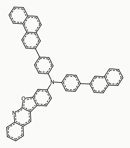 c1ccc2cc(-c3ccc(N(c4ccc(-c5ccc6c(ccc7ccccc76)c5)cc4)c4ccc5c(c4)oc4nc6ccccc6cc45)cc3)ccc2c1